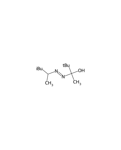 CCC(C)C(C)N=NC(C)(O)C(C)(C)C